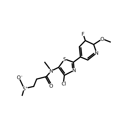 COC1N=CC(c2nc(Cl)c(N(C)C(=O)CC[S+](C)[O-])s2)=CC1F